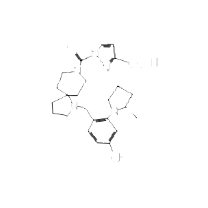 C[C@@H]1CC[C@@H](C)N1c1cc(C(F)(F)F)ccc1CN1CCCC12CCN(C(=O)n1ccc(C(=O)O)n1)CC2